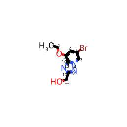 CCOc1cc(Br)cn2nc(CO)nc12